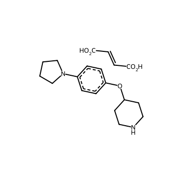 O=C(O)C=CC(=O)O.c1cc(N2CCCC2)ccc1OC1CCNCC1